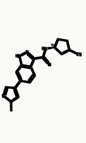 Cn1cc(-c2ccc3c(C(=O)N[C@@H]4CCN(C#N)C4)n[nH]c3c2)cn1